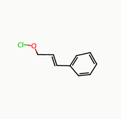 ClOC/C=C/c1ccccc1